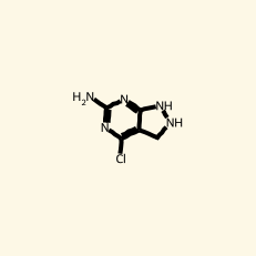 Nc1nc(Cl)c2c(n1)NNC2